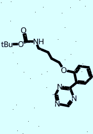 CC(C)(C)OC(=O)NCCCCOc1ccccc1-c1n[c]ncn1